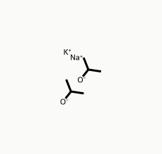 CC(C)[O-].CC(C)[O-].[K+].[Na+]